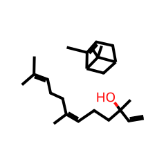 C=CC(C)(O)CCC=C(C)CCC=C(C)C.CC1=CCC2CC1C2(C)C